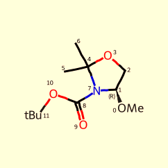 CO[C@@H]1COC(C)(C)N1C(=O)OC(C)(C)C